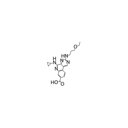 CCOCCCNc1ncc2c(n1)c(NC1CC1)nc1cc(C(=O)O)ccc12